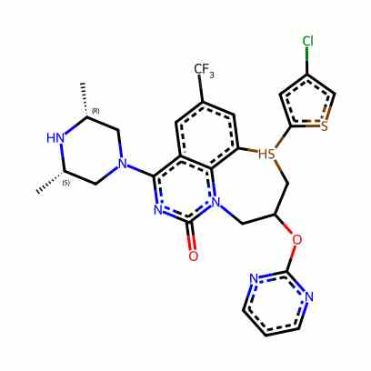 C[C@@H]1CN(c2nc(=O)n3c4c(cc(C(F)(F)F)cc24)[SH](c2cc(Cl)cs2)CC(Oc2ncccn2)C3)C[C@H](C)N1